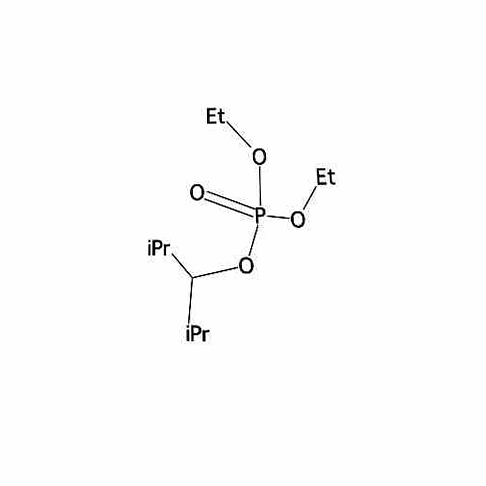 CCOP(=O)(OCC)OC(C(C)C)C(C)C